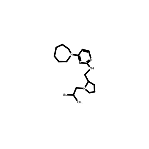 CCC(C)C(C)CN1CCCC1CNc1nccc(N2CCCCCC2)n1